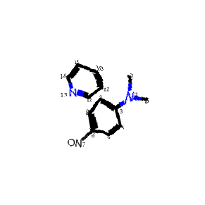 CN(C)c1ccc(N=O)cc1.c1ccncc1